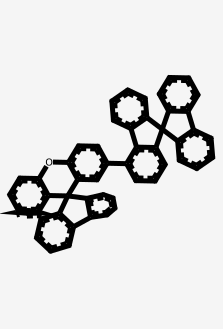 c1ccc2c(c1)-c1ccccc1C21c2ccccc2-c2c(-c3ccc4c(c3)C3(c5ccccc5-c5ccccc53)c3c(ccc5ccccc35)O4)cccc21